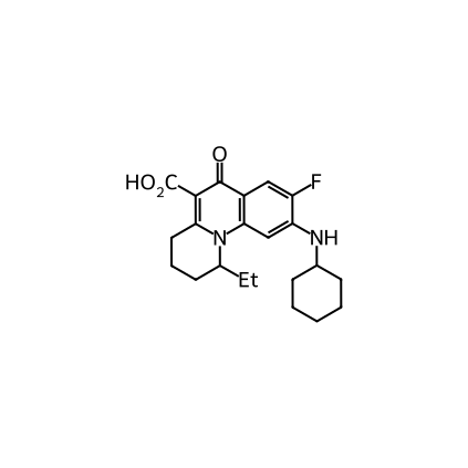 CCC1CCCc2c(C(=O)O)c(=O)c3cc(F)c(NC4CCCCC4)cc3n21